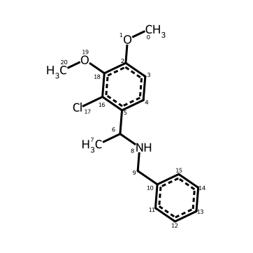 COc1ccc(C(C)NCc2ccccc2)c(Cl)c1OC